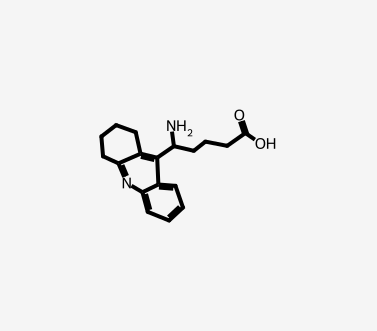 NC(CCCC(=O)O)c1c2c(nc3ccccc13)CCCC2